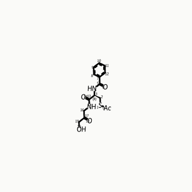 CC(=O)SC[C@H](NC(=O)c1ccccc1)C(=O)NCC(=O)CO